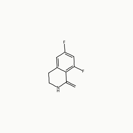 C=C1NCCc2cc(F)cc(F)c21